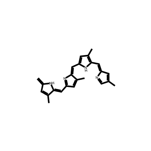 C=c1cc(C)c(=CC2=NC(=Cc3cc(C)c(C=C4C=C(C)C=N4)[nH]3)C(C)=C2)[nH]1